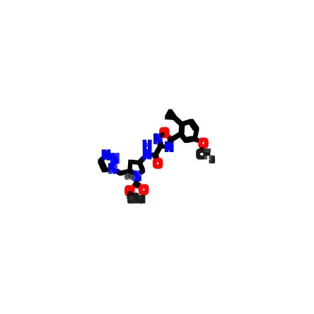 CC(C)(C)OC(=O)N1CC(NC(=O)c2noc(-c3cc(OC(F)(F)F)ccc3C3CC3)n2)C[C@@H]1Cn1ccnn1